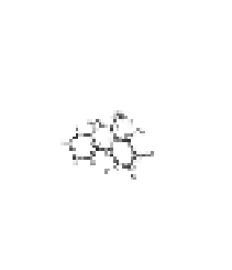 Cc1c(C)c(C)c(-c2ccccc2)c(C(N)=O)c1C